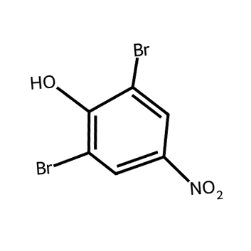 O=[N+]([O-])c1cc(Br)c(O)c(Br)c1